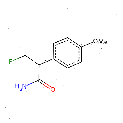 COc1ccc(C(CF)C(N)=O)cc1